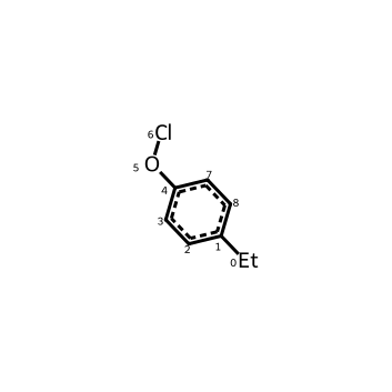 CCc1ccc(OCl)cc1